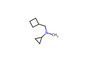 CN(CC1CCC1)C1CC1